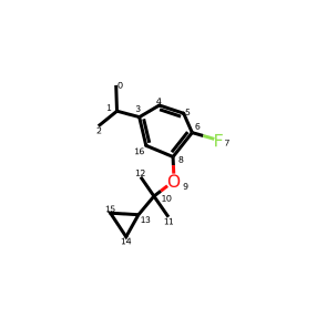 CC(C)c1ccc(F)c(OC(C)(C)C2CC2)c1